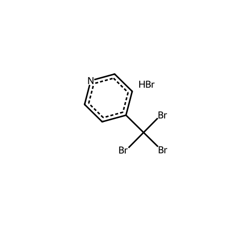 Br.BrC(Br)(Br)c1ccncc1